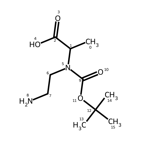 CC(C(=O)O)N(CCN)C(=O)OC(C)(C)C